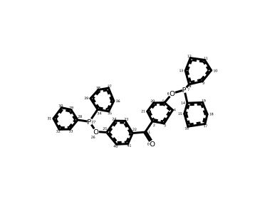 O=C(c1ccc(OP(c2ccccc2)c2ccccc2)cc1)c1ccc(OP(c2ccccc2)c2ccccc2)cc1